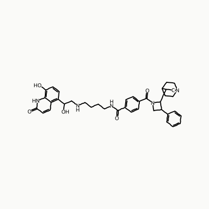 O=C(NCCCCNCC(O)c1ccc(O)c2[nH]c(=O)ccc12)c1ccc(C(=O)N2CC(c3ccccc3)C2C2CN3CCC2CC3)cc1